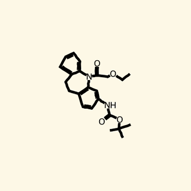 CCOCC(=O)N1c2ccccc2CCc2ccc(NC(=O)OC(C)(C)C)cc21